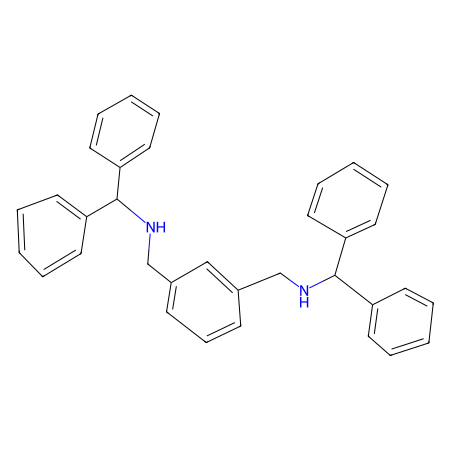 c1ccc(C(NCc2cccc(CNC(c3ccccc3)c3ccccc3)c2)c2ccccc2)cc1